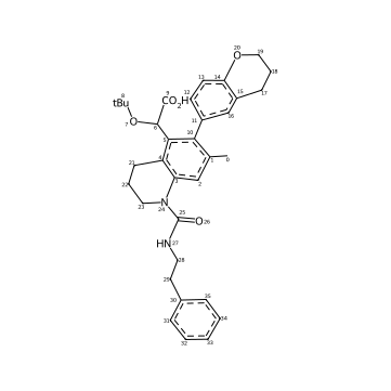 Cc1cc2c(c(C(OC(C)(C)C)C(=O)O)c1-c1ccc3c(c1)CCCO3)CCCN2C(=O)NCCc1ccccc1